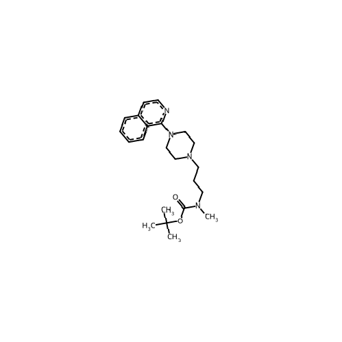 CN(CCCN1CCN(c2nccc3ccccc23)CC1)C(=O)OC(C)(C)C